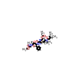 C=C[C@@H](CC)CC(=O)N(C)[C@H](C[C@@H](OC(C)=O)c1nc(C(=O)N[C@@H](Cc2ccccc2)C2OC2(C)C(=O)NCC(=O)OC)cs1)C(C)C